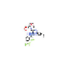 Cc1nc(N[C@H](CF)c2cccc(C(F)F)c2F)c2cn(C3(C(F)(F)F)CCOC3)c(=O)cc2n1